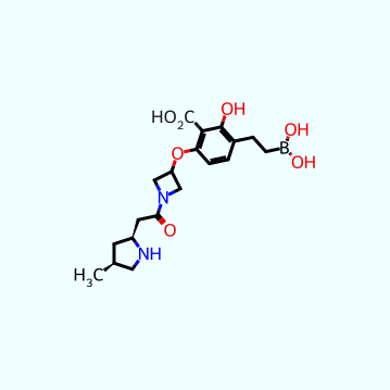 C[C@@H]1CN[C@H](CC(=O)N2CC(Oc3ccc(CCB(O)O)c(O)c3C(=O)O)C2)C1